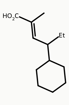 CCC(C=C(C)C(=O)O)C1CCCCC1